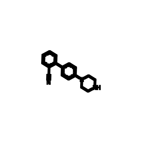 N#Cc1ccccc1-c1ccc(N2CCNCC2)cc1